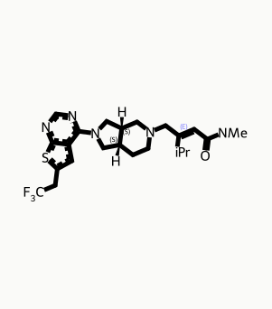 CNC(=O)/C=C(/CN1CC[C@@H]2CN(c3ncnc4sc(CC(F)(F)F)cc34)C[C@@H]2C1)C(C)C